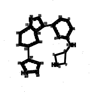 c1cc(NC2CNC2)nc(-c2cnc3ccc(-c4cn[nH]c4)cn23)c1